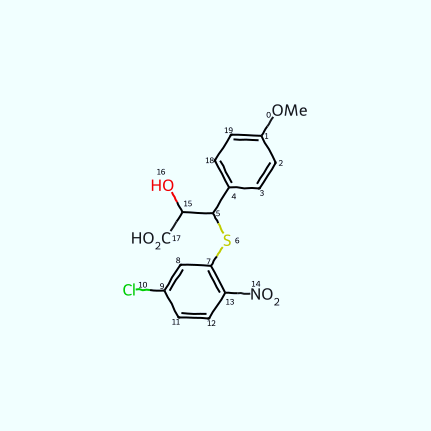 COc1ccc(C(Sc2cc(Cl)ccc2[N+](=O)[O-])C(O)C(=O)O)cc1